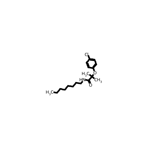 CCCCCCCCNC(=O)C(C)(C)Oc1ccc(Cl)cc1